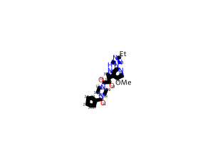 CCc1ncn(-c2ncc(OC)c3c(C(=O)C(=O)N4CCN(C(=O)c5ccccc5)CC4)c[nH]c23)n1